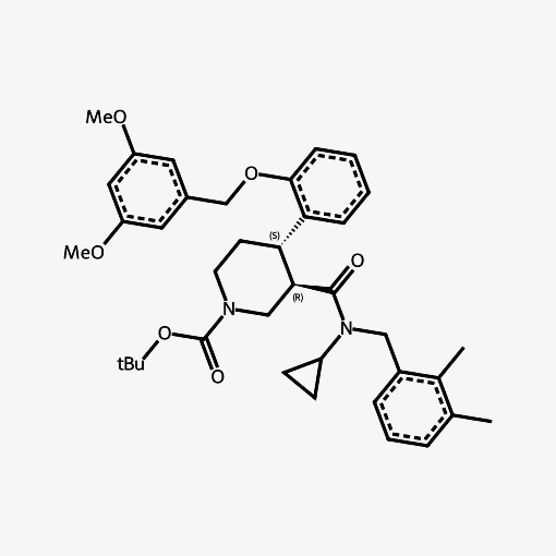 COc1cc(COc2ccccc2[C@H]2CCN(C(=O)OC(C)(C)C)C[C@@H]2C(=O)N(Cc2cccc(C)c2C)C2CC2)cc(OC)c1